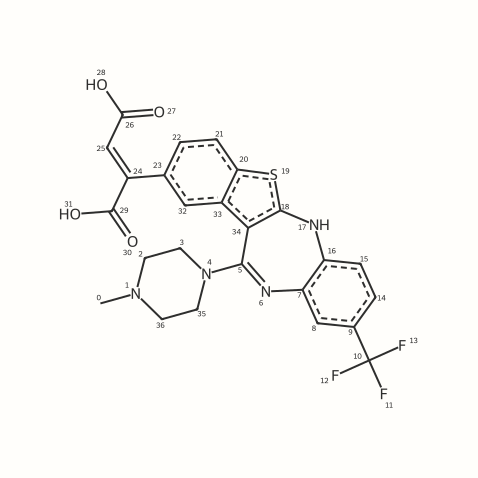 CN1CCN(C2=Nc3cc(C(F)(F)F)ccc3Nc3sc4ccc(/C(=C\C(=O)O)C(=O)O)cc4c32)CC1